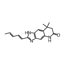 CC=CC=Cc1nc2cc3c(cc2[nH]1)C(C)(C)CC(=O)N3